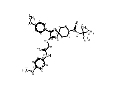 COc1ccc(C2=NC3(CCN(C(=O)OC(C)(C)C)CC3)N=C2SCC(=O)Nc2ccc(OC)nc2)cc1